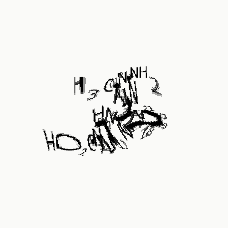 Cc1nc(N)nc(-c2c(Nc3cnn(C(=O)O)c3)nc3ccccn23)n1